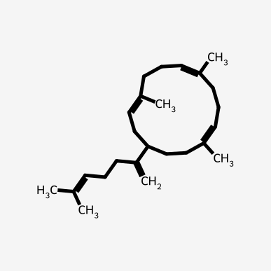 C=C(CCC=C(C)C)C1C/C=C(\C)CC/C=C(/C)CC/C=C(/C)CC1